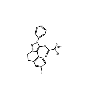 CCN(CC)C(=O)Oc1c2c(nn1-c1ccncc1)CCc1cc(F)ccc1-2.Cl